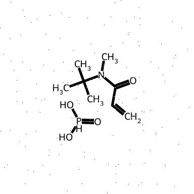 C=CC(=O)N(C)C(C)(C)C.O=[PH](O)O